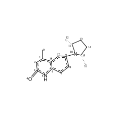 Cc1cc(=O)[nH]c2ccc(N3[C@H](C)CC[C@@H]3C)cc12